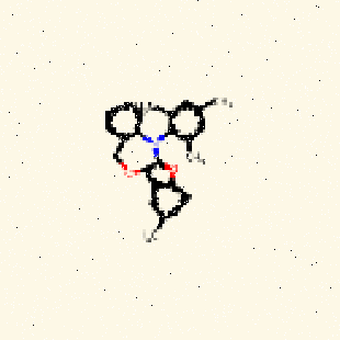 Cc1cc(C)c(N2c3ccccc3COc3c2oc2ccc(C)cc32)c(C)c1